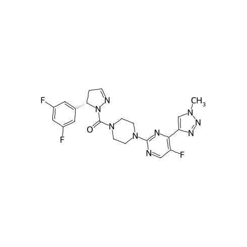 Cn1cc(-c2nc(N3CCN(C(=O)N4N=CC[C@H]4c4cc(F)cc(F)c4)CC3)ncc2F)nn1